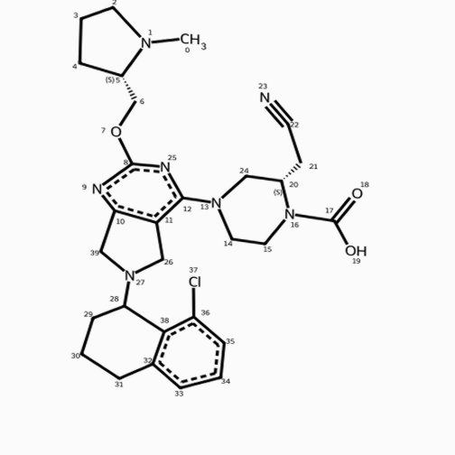 CN1CCC[C@H]1COc1nc2c(c(N3CCN(C(=O)O)[C@@H](CC#N)C3)n1)CN(C1CCCc3cccc(Cl)c31)C2